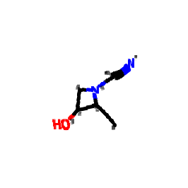 CC1C(O)CN1C#N